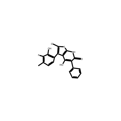 Cc1ccc(-c2c(Cl)sc3[nH]c(=O)c(-c4ccccc4)c(O)c23)c(O)c1F